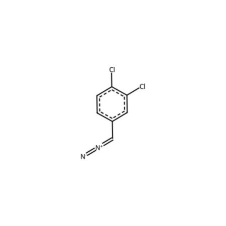 [N-]=[N+]=Cc1ccc(Cl)c(Cl)c1